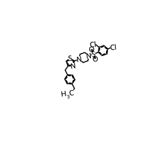 CCc1ccc(Cc2csc(N3CCN(S(=O)(=O)c4ccc(Cl)cc4Cl)CC3)n2)cc1